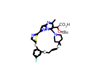 Cc1nc2cc3nn2c(c1[C@H](OC(C)(C)C)C(=O)O)N1CCC(C)(C/C=C/CCc2cc(F)ccc2Cc2cnc-3s2)CC1